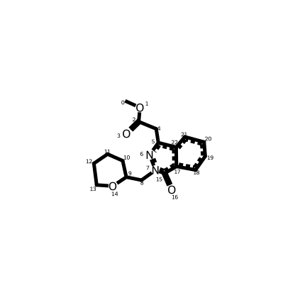 COC(=O)Cc1nn(CC2CCCCO2)c(=O)c2ccccc12